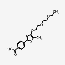 CCOCCOCCOc1nc(-c2ccc(C(=O)O)cc2)sc1C